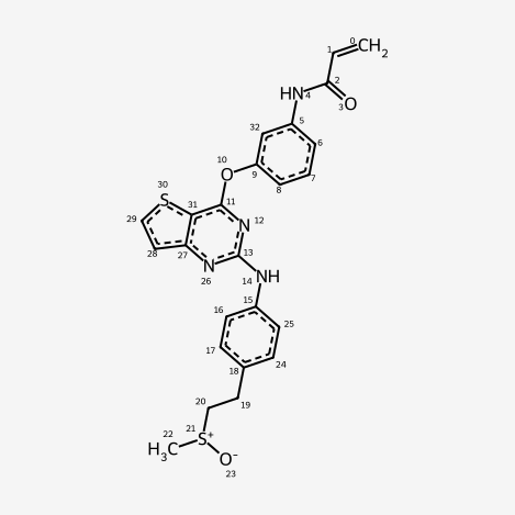 C=CC(=O)Nc1cccc(Oc2nc(Nc3ccc(CC[S+](C)[O-])cc3)nc3ccsc23)c1